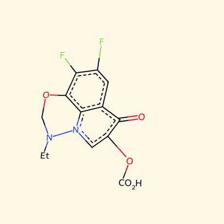 CCN1COc2c(F)c(F)cc3c(=O)c(OC(=O)O)cn1c23